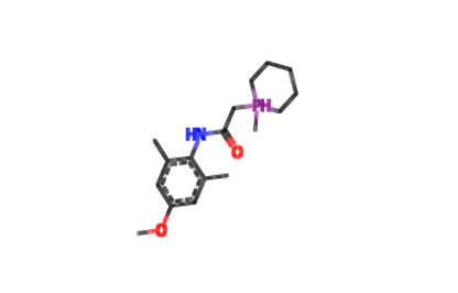 COc1cc(C)c(NC(=O)C[PH]2(C)CCCCC2)c(C)c1